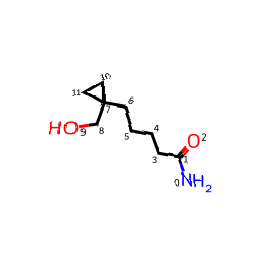 NC(=O)CCCCC1(CO)CC1